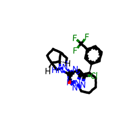 FC(F)(F)c1cccc([C@H]2CCCCn3nc(N[C@@H]4C5CC[C@H]4CN(c4cnnc(Cl)c4)C5)nc32)c1